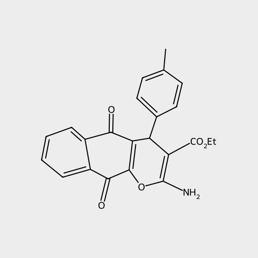 CCOC(=O)C1=C(N)OC2=C(C(=O)c3ccccc3C2=O)C1c1ccc(C)cc1